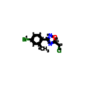 Cc1cc(Br)ccc1-c1noc(CCl)n1